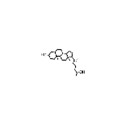 CC(O)CCC[C@@H](C)C1CCC2C3CCC4CC(O)CCC4(C)C3CCC21C